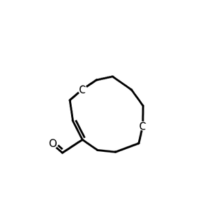 O=CC1=CCCCCCCCCCC1